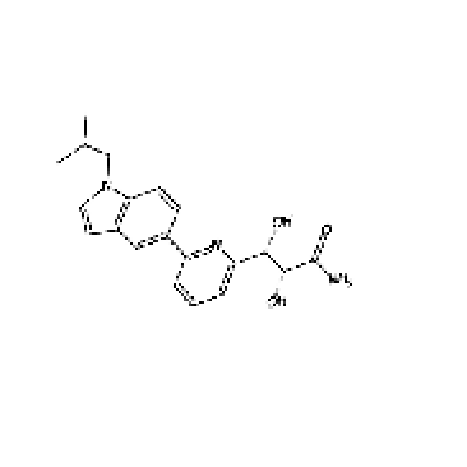 CC(C)Cn1ccc2cc(-c3cccc([C@H](O)[C@@H](O)C(N)=O)n3)ccc21